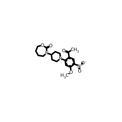 COc1cc(N2CCC(N3CCCCOC3=O)CC2)c(C(C)=O)cc1[N+](=O)[O-]